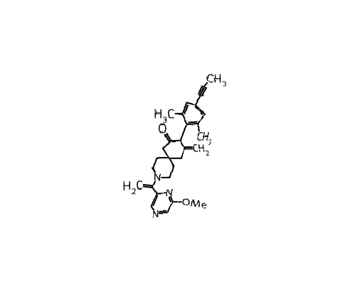 C=C1CC2(CCN(C(=C)c3cncc(OC)n3)CC2)CC(=O)C1c1c(C)cc(C#CC)cc1C